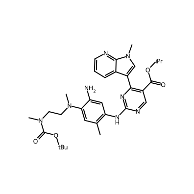 Cc1cc(N(C)CCN(C)C(=O)OC(C)(C)C)c(N)cc1Nc1ncc(C(=O)OC(C)C)c(-c2cn(C)c3ncccc23)n1